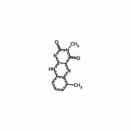 Cc1cccc2[nH]c3nc(=O)n(C)c(=O)c-3nc12